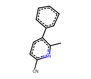 Cc1nc(C#N)ccc1-c1ccccc1